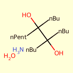 CCCCCC(O)(CCCC)C(O)(CCCC)CCCC.N.O